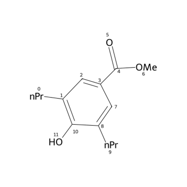 CCCc1cc(C(=O)OC)cc(CCC)c1O